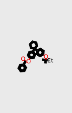 CCC(C)(C)Oc1ccc(C2(c3ccc(OC(=O)c4ccccc4)cc3)CCCCC2)cc1